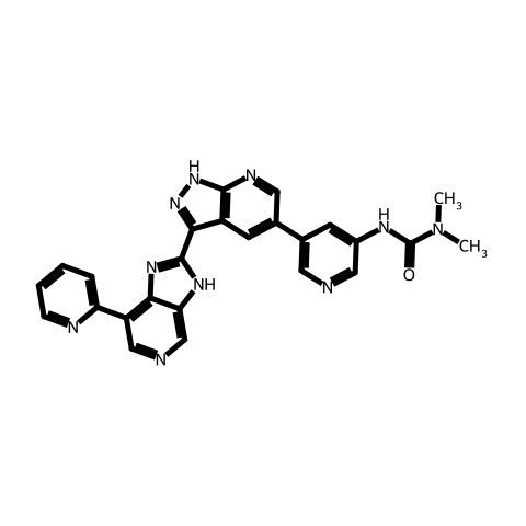 CN(C)C(=O)Nc1cncc(-c2cnc3[nH]nc(-c4nc5c(-c6ccccn6)cncc5[nH]4)c3c2)c1